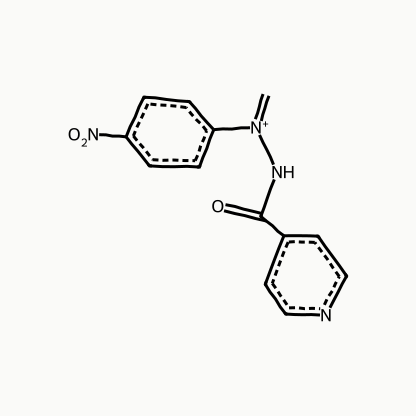 C=[N+](NC(=O)c1ccncc1)c1ccc([N+](=O)[O-])cc1